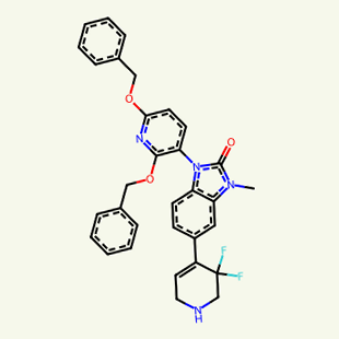 Cn1c(=O)n(-c2ccc(OCc3ccccc3)nc2OCc2ccccc2)c2ccc(C3=CCNCC3(F)F)cc21